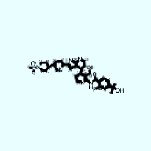 CC(C)(O)c1ccc(C(=O)Nc2nccc(-c3ccnc4[nH]c(-c5ccc(C6CCN(S(C)(=O)=O)CC6)cn5)cc34)c2CO)c(F)c1